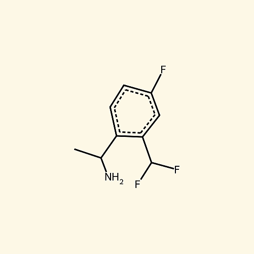 CC(N)c1ccc(F)cc1C(F)F